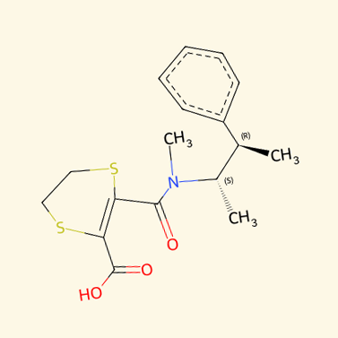 C[C@H](c1ccccc1)[C@H](C)N(C)C(=O)C1=C(C(=O)O)SCCS1